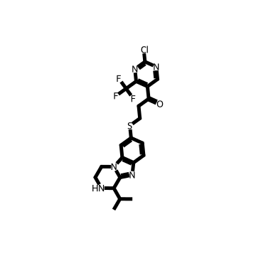 CC(C)C1NCCn2c1nc1ccc(SCCC(=O)c3cnc(Cl)nc3C(F)(F)F)cc12